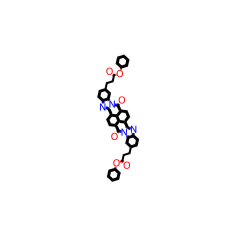 O=C(CCc1ccc2nc3c4ccc5c(=O)n6c7cc(CCC(=O)Oc8ccccc8)ccc7nc6c6ccc(c(=O)n3c2c1)c4c56)Oc1ccccc1